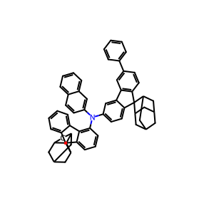 c1ccc(-c2ccc3c(c2)-c2cc(N(c4ccc5ccccc5c4)c4cccc5c4-c4ccccc4C54C5CC6CC(C5)CC4C6)ccc2C32C3CC4CC(C3)CC2C4)cc1